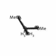 COC(=O)CC(=O)CCCCCCCCCCCCCOCC(COC(=O)CCCN(C)C)OCCCCCCCCCCCCCC(=O)CC(=O)OC